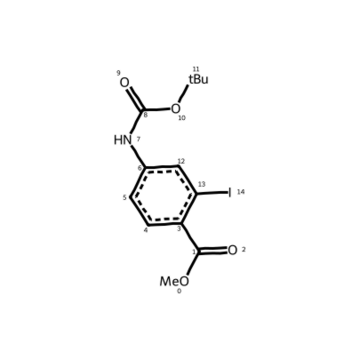 COC(=O)c1ccc(NC(=O)OC(C)(C)C)cc1I